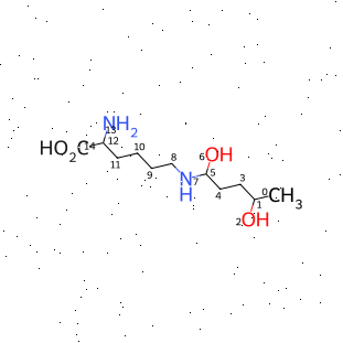 CC(O)CCC(O)NCCCCC(N)C(=O)O